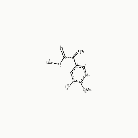 C=C(C(=O)OC(C)(C)C)c1cnc(OC)c(C(F)(F)F)c1